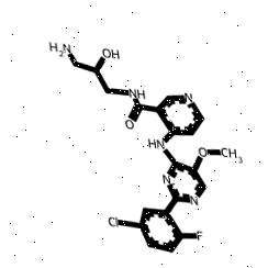 COc1cnc(-c2cc(Cl)ccc2F)nc1Nc1ccncc1C(=O)NCC(O)CN